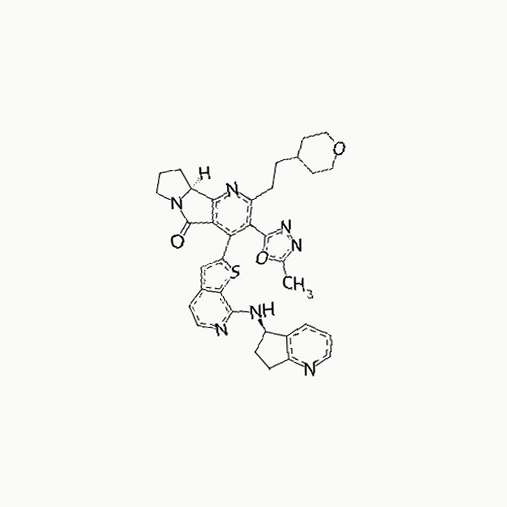 Cc1nnc(-c2c(CCC3CCOCC3)nc3c(c2-c2cc4ccnc(N[C@@H]5CCc6ncccc65)c4s2)C(=O)N2CCC[C@@H]32)o1